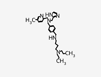 CCCN(CCC)CCCCNCc1ccc(CN(Cc2ccc(C)cn2)Cc2ncc[nH]2)cc1